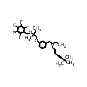 CCN(C/C=C/C#CC(C)(C)C)Cc1cccc(OCC(C)(CC)OCc2c(F)c(F)c(F)c(F)c2F)c1